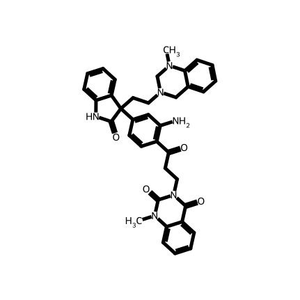 CN1CN(CCC2(c3ccc(C(=O)CCn4c(=O)c5ccccc5n(C)c4=O)c(N)c3)C(=O)Nc3ccccc32)Cc2ccccc21